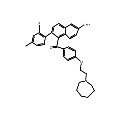 COc1ccc2c(C(=O)c3ccc(OCCN4CCCCCC4)cc3)c(-c3ccc(C)cc3F)ccc2c1